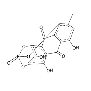 Cc1cc(O)c2c3c1OP1(=O)Oc4c(O)c(c(c(c4O)C2=O)C3=O)O1